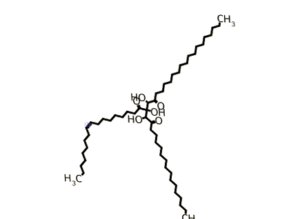 CCCCCCCC/C=C\CCCCCCCC(=O)C(O)(C(O)C(=O)CCCCCCCCCCCCCCC)C(O)C(=O)CCCCCCCCCCCCCCCCC